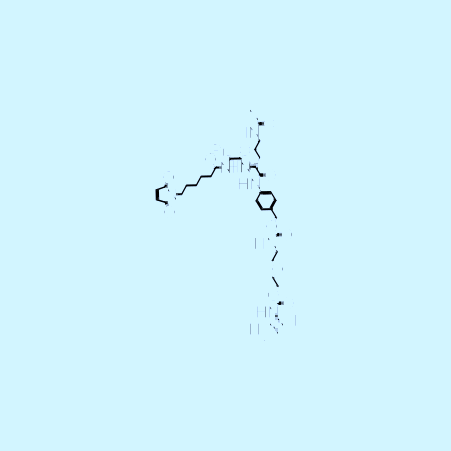 CC(C)[C@H](NC(=O)CCCCCN1C(=O)C=CC1=O)C(=O)N[C@@H](CCCNC(N)=O)C(=O)Nc1ccc(COC(=O)NCCOCCOC(=O)NNN)cc1